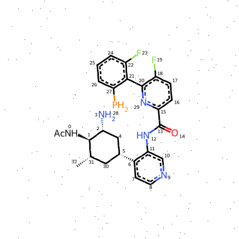 CC(=O)N[C@H]1[C@H](N)C[C@H](c2ccncc2NC(=O)c2ccc(F)c(-c3c(F)cccc3P)n2)C[C@@H]1C